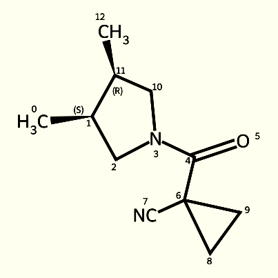 C[C@@H]1CN(C(=O)C2(C#N)CC2)C[C@@H]1C